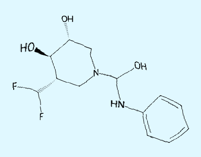 OC(Nc1ccccc1)N1C[C@@H](O)[C@H](O)[C@@H](C(F)F)C1